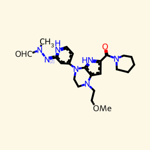 COCCN1CCN(c2cc[nH]/c(=N\N(C)C=O)c2)c2[nH]c(C(=O)N3CCCCC3)cc21